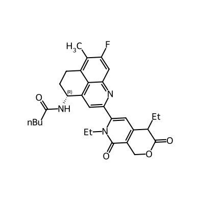 CCCCC(=O)N[C@@H]1CCc2c(C)c(F)cc3nc(-c4cc5c(c(=O)n4CC)COC(=O)C5CC)cc1c23